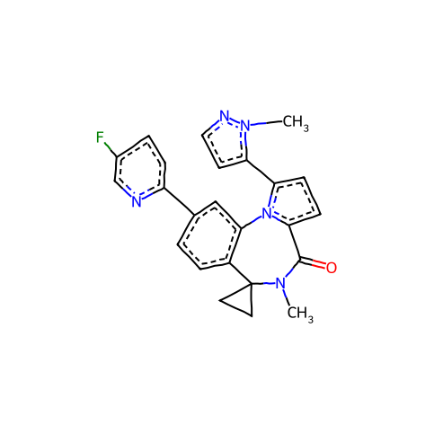 CN1C(=O)c2ccc(-c3ccnn3C)n2-c2cc(-c3ccc(F)cn3)ccc2C12CC2